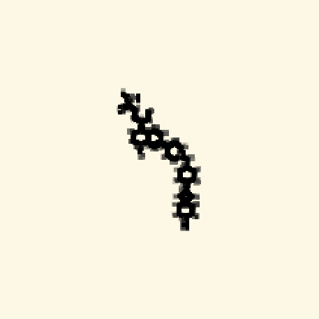 C=CC(CCC(=O)NC)N1CCN(C)c2cc(C3CCN(CC4CCN(C5CC6(CCNCC6)C5)CC4)CC3)ccc21